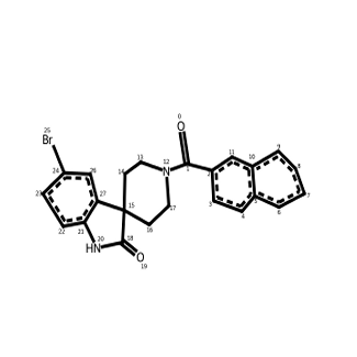 O=C(c1ccc2ccccc2c1)N1CCC2(CC1)C(=O)Nc1ccc(Br)cc12